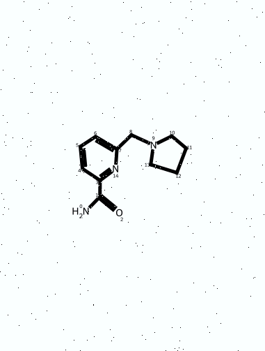 NC(=O)c1[c]ccc(CN2CCCC2)n1